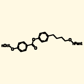 CCCCCCCCOc1ccc(C(=O)Oc2ccc(CCCCOCCCCC)cc2)cc1